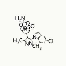 CCC(CS(=O)(=O)OC(N)=O)c1c(C)nn(C)c1-n1ccc2cc(Cl)ccc21